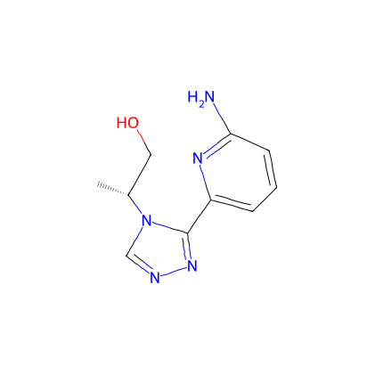 C[C@H](CO)n1cnnc1-c1cccc(N)n1